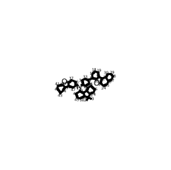 CC1(C)c2ccccc2-c2c(N(c3ccc(-c4cccc5c4oc4ccc6ccccc6c45)cc3)c3ccc4oc5ccccc5c4c3)cccc21